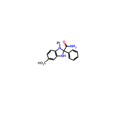 CC(C)N1c2ccc(C(=O)O)cc2NC1(C(N)=O)c1ccccc1